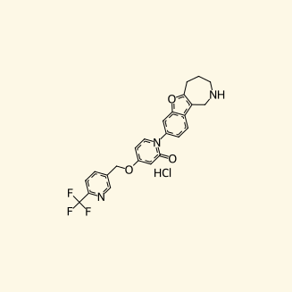 Cl.O=c1cc(OCc2ccc(C(F)(F)F)nc2)ccn1-c1ccc2c3c(oc2c1)CCCNC3